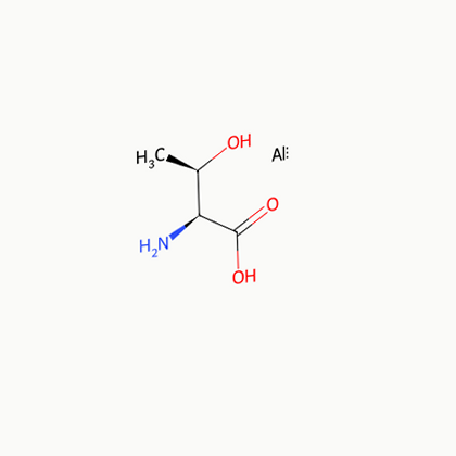 C[C@@H](O)[C@H](N)C(=O)O.[Al]